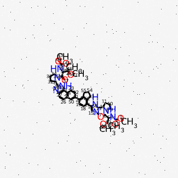 COC(=O)N[C@H](C(=O)N1CCCC1c1ncc(-c2ccc(-c3ccc4c(ccc5nc(C6CCCN6C(=O)[C@@H](NC(=O)OC)[C@@H](C)OC)[nH]c54)c3)c3c2CCC3)[nH]1)[C@@H](C)OC